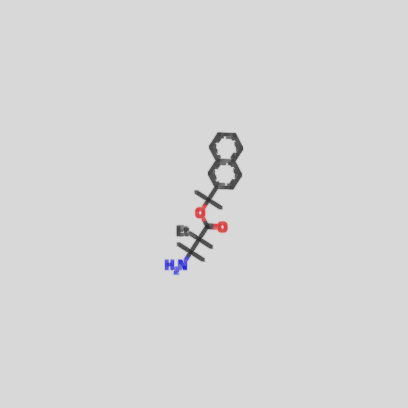 CCC(C)(C(=O)OC(C)(C)c1ccc2ccccc2c1)C(C)(C)N